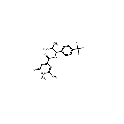 CN/C(C)=N\C(=C/C=O)C(=O)NC(c1ccc(C(F)(F)F)cc1)C(C)C